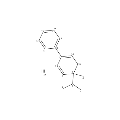 CC(C)C1(C)C=CC(c2ccccc2)=CC1.I